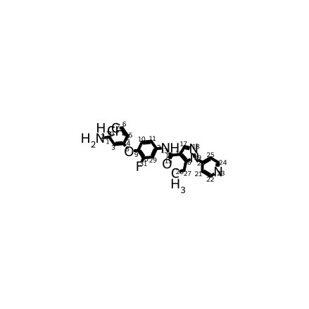 C=C(N)/C=C(\C=C/C)Oc1ccc(NC(=O)c2cnn(-c3ccncc3)c2CC)cc1F